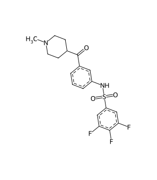 CN1CCC(C(=O)c2cccc(NS(=O)(=O)c3cc(F)c(F)c(F)c3)c2)CC1